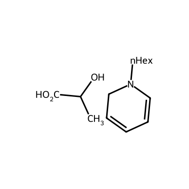 CC(O)C(=O)O.CCCCCCN1C=CC=CC1